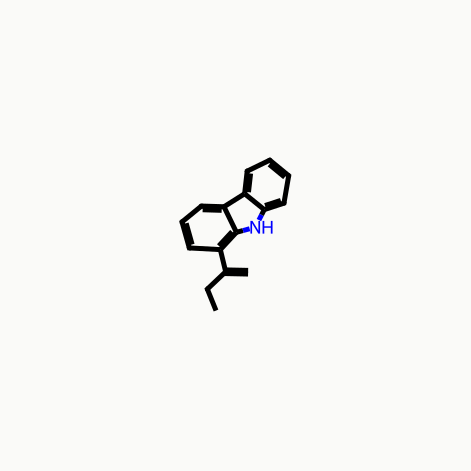 C=C(CC)c1cccc2c1[nH]c1ccccc12